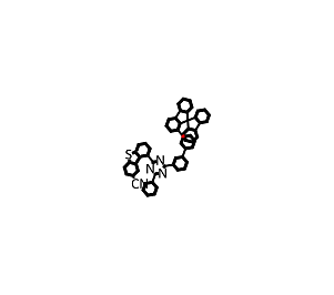 N#Cc1ccc2sc3cccc(-c4nc(-c5ccccc5)nc(-c5cccc(-c6cccc(-c7cccc8c7C7(c9ccccc9-c9ccccc97)c7ccccc7-8)c6)c5)n4)c3c2c1